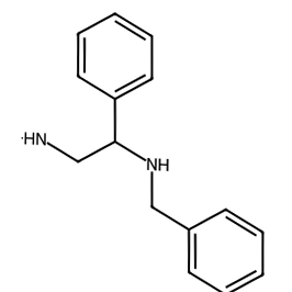 [NH]CC(NCc1ccccc1)c1ccccc1